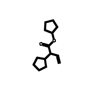 C=CC(C(=O)OC1CCCC1)C1CCCC1